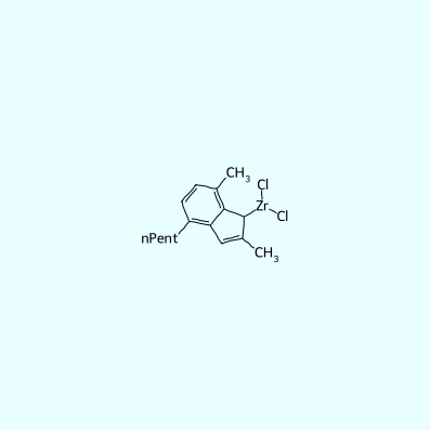 CCCCCc1ccc(C)c2c1C=C(C)[CH]2[Zr]([Cl])[Cl]